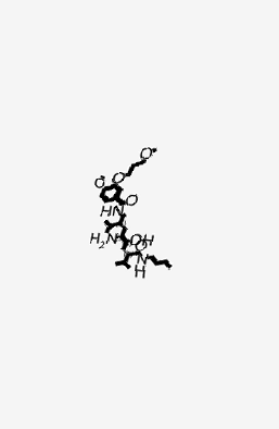 CCCCNC(=O)[C@@H](C[C@H](O)[C@@H](N)C[C@H](CNC(=O)c1ccc(OC)c(OCCCOC)c1)C(C)C)C(C)C